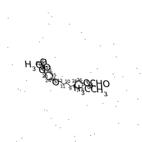 CC(C)(C=O)Oc1ccc(CCCCOc2ccc(OS(C)(=O)=O)cc2)cc1